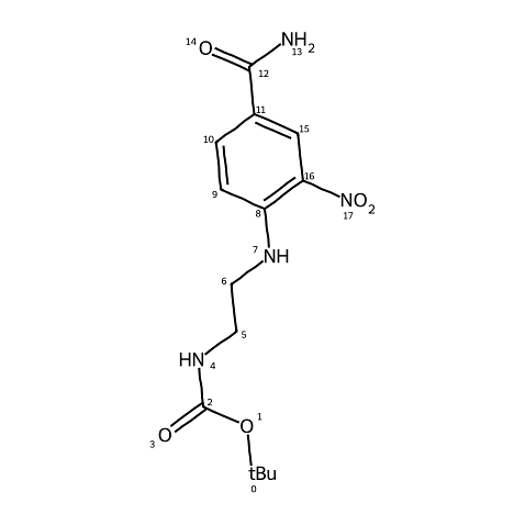 CC(C)(C)OC(=O)NCCNc1ccc(C(N)=O)cc1[N+](=O)[O-]